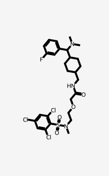 CN(C)C(c1cccc(F)c1)C1CCC(CNC(=O)COCCN(C)S(=O)(=O)c2c(Cl)cc(Cl)cc2Cl)CC1